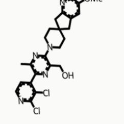 COc1cnc2c(c1)CC1(CCN(c3nc(C)c(-c4ccnc(Cl)c4Cl)nc3CO)CC1)C2